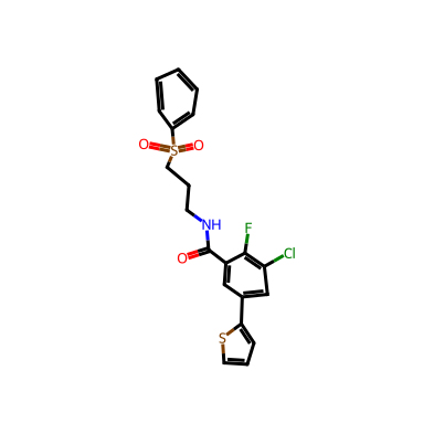 O=C(NCCCS(=O)(=O)c1ccccc1)c1cc(-c2cccs2)cc(Cl)c1F